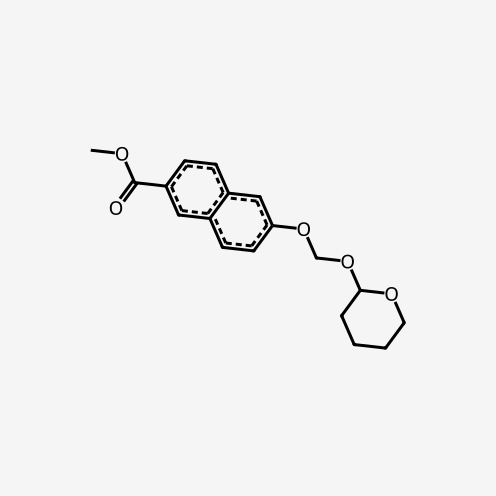 COC(=O)c1ccc2cc(OCOC3CCCCO3)ccc2c1